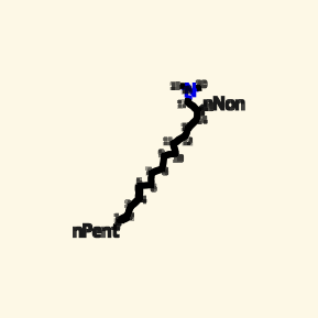 CCCCCC=CCC=CCCCCCCCCC[C@H](CCCCCCCCC)CN(C)C